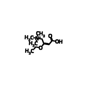 CCOC(=CC(=O)O)C[N+](C)(C)C